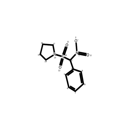 O=[N+]([O-])C(c1ccccc1)S(=O)(=O)N1CCCC1